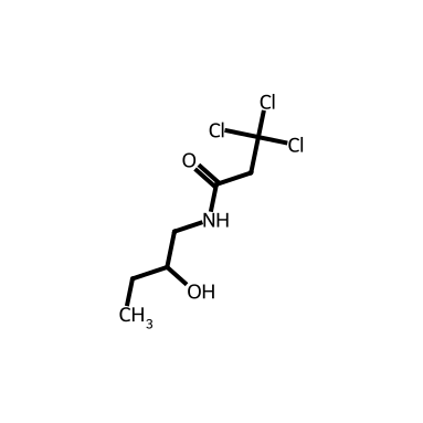 CCC(O)CNC(=O)CC(Cl)(Cl)Cl